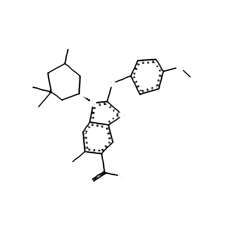 Cc1cc2c(cc1C(N)=O)nc(Nc1ccc(OC(F)(F)F)cc1)n2[C@@H]1CC(C)CC(C)(C)C1